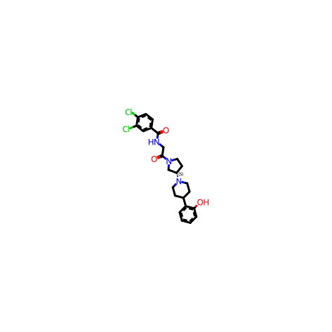 O=C(NCC(=O)N1CC[C@H](N2CCC(c3ccccc3O)CC2)C1)c1ccc(Cl)c(Cl)c1